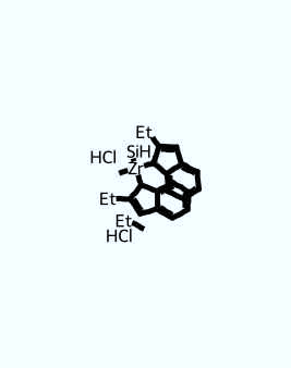 CCC.CCC1=Cc2ccccc2[CH]1[Zr]([CH3])([SiH3])[CH]1C(CC)=Cc2ccccc21.Cl.Cl